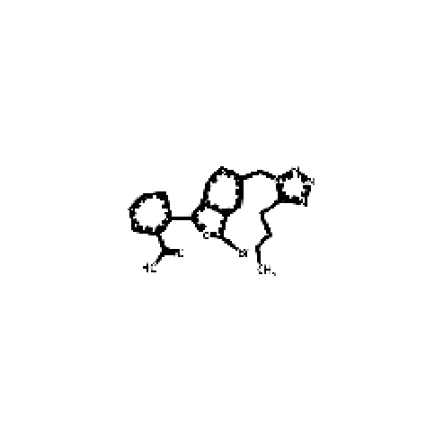 CCCCc1nnnn1Cc1ccc2c(-c3ccccc3C(=O)O)oc(Br)c2c1